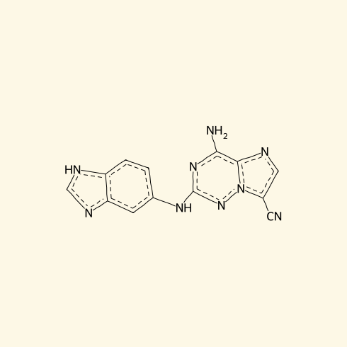 N#Cc1cnc2c(N)nc(Nc3ccc4[nH]cnc4c3)nn12